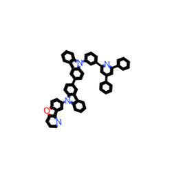 c1ccc(-c2cc(-c3ccccc3)nc(-c3cccc(-n4c5ccccc5c5cc(-c6ccc7c(c6)c6ccccc6n7-c6ccc7oc8cccnc8c7c6)ccc54)c3)c2)cc1